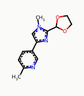 Cc1ccc(-c2cn(C)c(C3OCCO3)n2)cn1